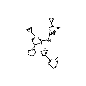 c1cnc(-c2cc([C@@H]3CCCN3c3nc(Nc4cc(C5CC5)[nH]n4)cc(C4CC4)n3)on2)nc1